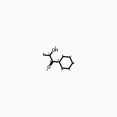 CC(O)C(=O)C1CCCCC1